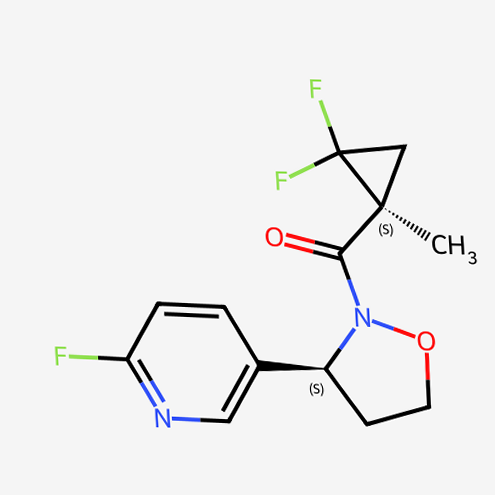 C[C@@]1(C(=O)N2OCC[C@H]2c2ccc(F)nc2)CC1(F)F